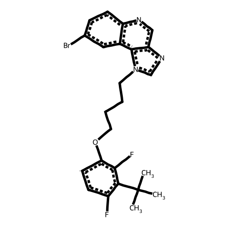 CC(C)(C)c1c(F)c[c]c(OCCCCn2cnc3cnc4ccc(Br)cc4c32)c1F